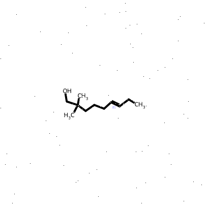 CC/C=C/CCCC(C)(C)CO